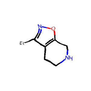 CCc1noc2c1CCNC2